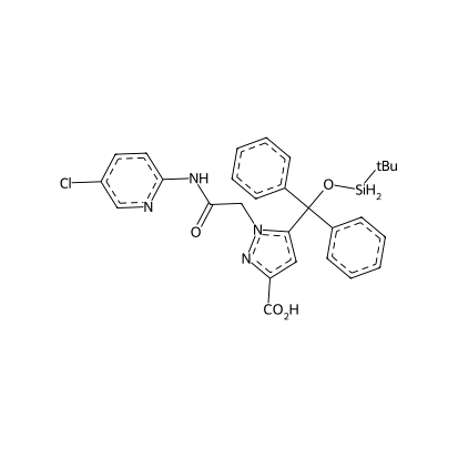 CC(C)(C)[SiH2]OC(c1ccccc1)(c1ccccc1)c1cc(C(=O)O)nn1CC(=O)Nc1ccc(Cl)cn1